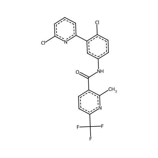 Cc1nc(C(F)(F)F)ccc1C(=O)Nc1ccc(Cl)c(-c2cccc(Cl)n2)c1